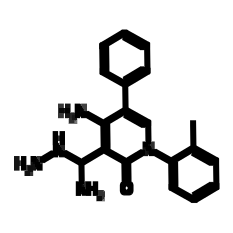 Cc1ccccc1-n1cc(-c2ccccc2)c(N)c(C(N)NN)c1=O